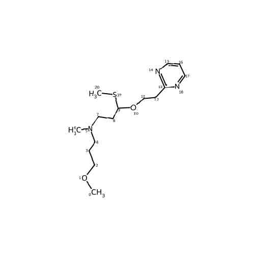 COCCCN(C)CCC(OCCc1ncccn1)SC